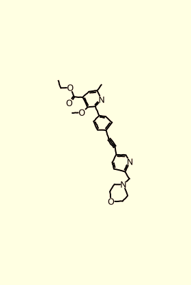 CCOC(=O)c1cc(C)nc(-c2ccc(C#Cc3ccc(CN4CCOCC4)nc3)cc2)c1OC